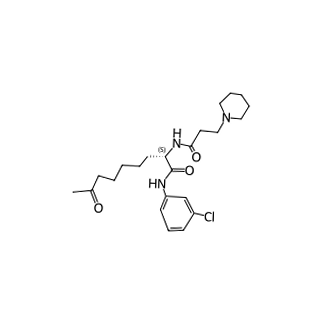 CC(=O)CCCCC[C@H](NC(=O)CCN1CCCCC1)C(=O)Nc1cccc(Cl)c1